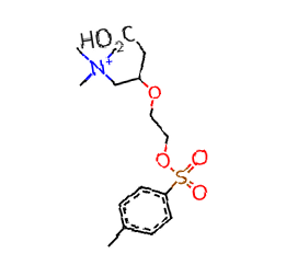 Cc1ccc(S(=O)(=O)OCCOC(CC(=O)O)C[N+](C)(C)C)cc1